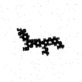 CCS(=O)(=O)c1ccc(C(CCO)NC(=O)c2ccc(N3C[C@@H](Oc4ccc(OC(F)F)cc4)C[C@H]3COC(F)F)cc2)cc1